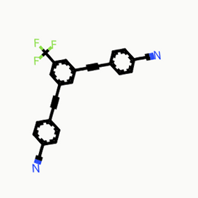 N#Cc1ccc(C#Cc2cc(C#Cc3ccc(C#N)cc3)cc(C(F)(F)F)c2)cc1